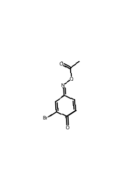 CC(=O)ON=C1C=CC(=O)C(Br)=C1